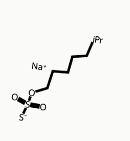 CC(C)CCCCCOS(=O)(=O)[S-].[Na+]